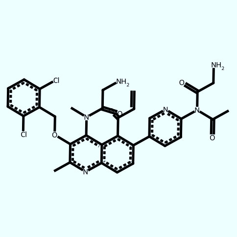 C=CC(=O)c1c(-c2ccc(N(C(C)=O)C(=O)CN)nc2)ccc2nc(C)c(OCc3c(Cl)cccc3Cl)c(N(C)C(=O)CN)c12